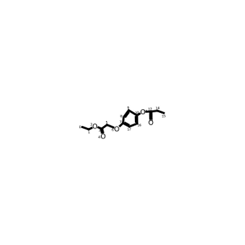 CCOC(=O)COc1ccc(OC(=O)CC)cc1